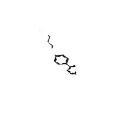 CCCCOc1ccc(-c2ccc(Cl)nc2)cc1